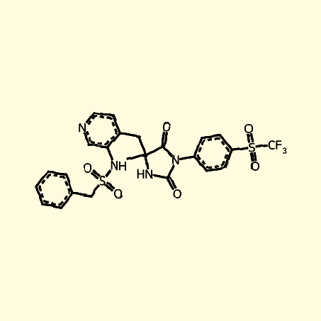 CC1(Cc2ccncc2NS(=O)(=O)Cc2ccccc2)NC(=O)N(c2ccc(S(=O)(=O)C(F)(F)F)cc2)C1=O